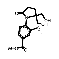 COC(=O)c1ccc(N2C(=O)CCC2(CO)CO)c(N)c1